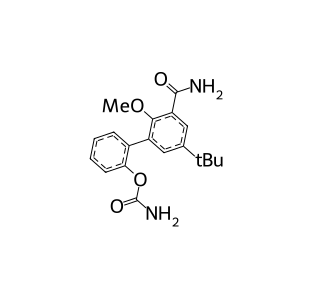 COc1c(C(N)=O)cc(C(C)(C)C)cc1-c1ccccc1OC(N)=O